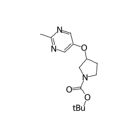 Cc1ncc(OC2CCN(C(=O)OC(C)(C)C)C2)cn1